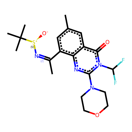 C/C(=N/[S@+]([O-])C(C)(C)C)c1cc(C)cc2c(=O)n(C(F)F)c(N3CCOCC3)nc12